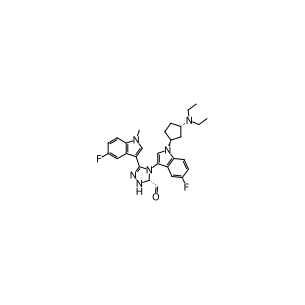 CCN(CC)[C@H]1CC[C@H](n2cc(N3C(c4cn(C)c5ccc(F)cc45)=NN[C@H]3C=O)c3cc(F)ccc32)C1